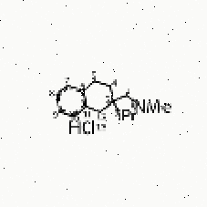 CNCC1(C(C)C)CCc2ccccc2C1.Cl